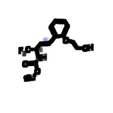 CC(C)(C)OC(=O)N[C@H](/C=C/c1ccccc1OCCO)C(F)(F)F